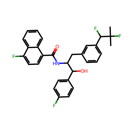 CC(C)(F)C(F)c1cccc(CC(NC(=O)c2ccc(F)c3ccccc23)C(O)c2ccc(F)cc2)c1